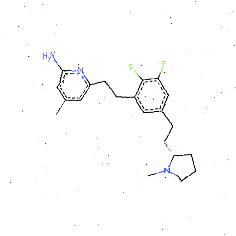 Cc1cc(N)nc(CCc2cc(CC[C@@H]3CCCN3C)cc(F)c2F)c1